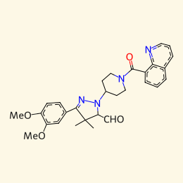 COc1ccc(C2=NN(C3CCN(C(=O)c4cccc5cccnc45)CC3)C(C=O)C2(C)C)cc1OC